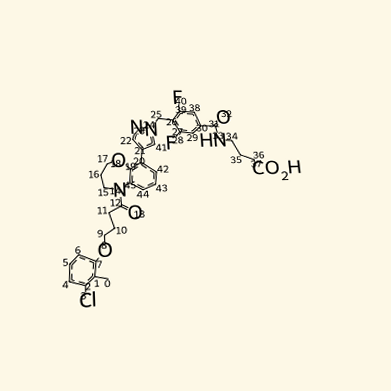 Cc1c(Cl)cccc1OCCCC(=O)N1CCCOc2c(-c3cnn(Cc4c(F)cc(C(=O)NCCCC(=O)O)cc4F)c3)cccc21